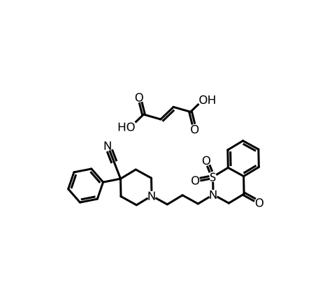 N#CC1(c2ccccc2)CCN(CCCN2CC(=O)c3ccccc3S2(=O)=O)CC1.O=C(O)C=CC(=O)O